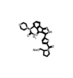 COCC1CCCN1C(=O)c1ccc(-c2[nH]nc3c2C(=O)c2c-3cccc2N(C(N)=O)N2CCOCC2)s1